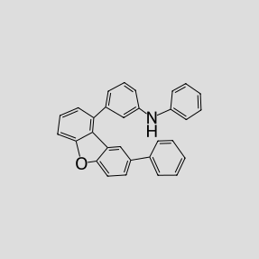 c1ccc(Nc2cccc(-c3cccc4oc5ccc(-c6ccccc6)cc5c34)c2)cc1